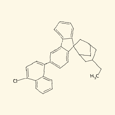 CCC1CC2CC(C1)C1(C2)c2ccccc2-c2cc(-c3ccc(Cl)c4ccccc34)ccc21